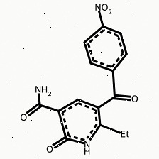 CCc1[nH]c(=O)c(C(N)=O)cc1C(=O)c1ccc([N+](=O)[O-])cc1